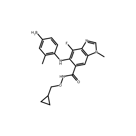 Bc1ccc(Nc2c(C(=O)NOCC3CC3)cc3c(ncn3C)c2F)c(C)c1